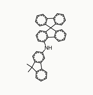 CC1(C)c2ccccc2-c2cc(Nc3cccc4c3-c3ccccc3C43c4ccccc4-c4ccccc43)ccc21